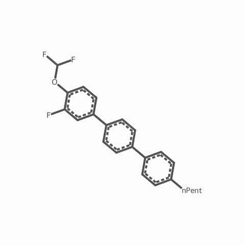 CCCCCc1ccc(-c2ccc(-c3ccc(OC(F)F)c(F)c3)cc2)cc1